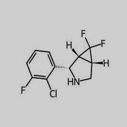 Fc1cccc([C@H]2NC[C@@H]3[C@H]2C3(F)F)c1Cl